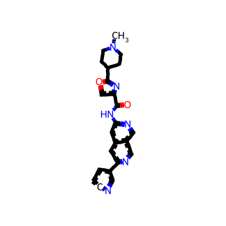 CN1CCC(c2nc(C(=O)Nc3cc4cc(-c5cccnc5)ncc4cn3)co2)CC1